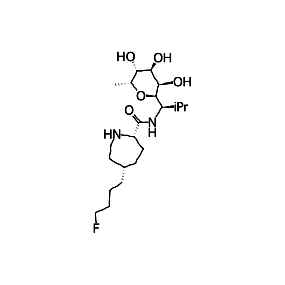 CC(C)[C@@H](NC(=O)[C@@H]1CC[C@H](CCCCF)CCN1)[C@H]1O[C@H](C)[C@H](O)[C@@H](O)[C@H]1O